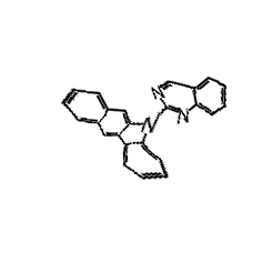 c1ccc2cc3c(cc2c1)c1ccccc1n3-c1ncc2ccccc2n1